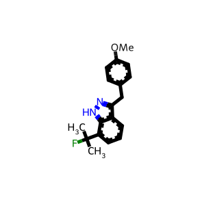 COc1ccc(Cc2n[nH]c3c(C(C)(C)F)cccc23)cc1